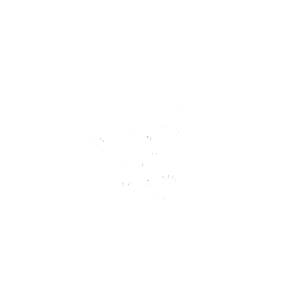 CC(C)(C)C(=O)ON1c2ccccc2CCC1CN